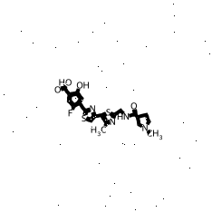 Cc1nc(CNC(=O)C2CCN(C)C2)sc1-c1csc(-c2cc(O)c(C(=O)O)cc2F)n1